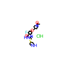 CC(=O)N1CCC(COc2cc(F)c3c(=O)[nH]c(CSC4CCNCC4)nc3c2)CC1.Cl